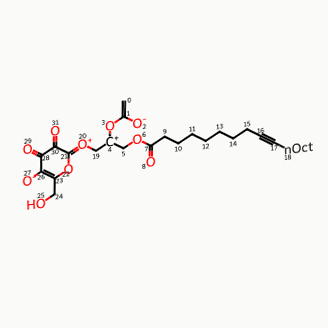 C=C([O-])O[C+](COC(=O)CCCCCCCC#CCCCCCCCC)C[O+]=C1OC(CO)=C([O-])C(=O)C1=O